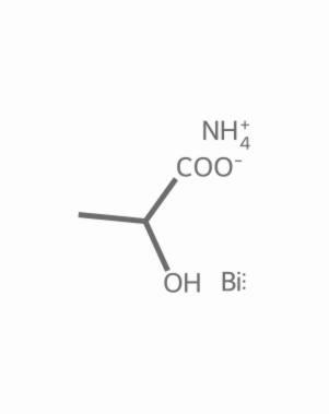 CC(O)C(=O)[O-].[Bi].[NH4+]